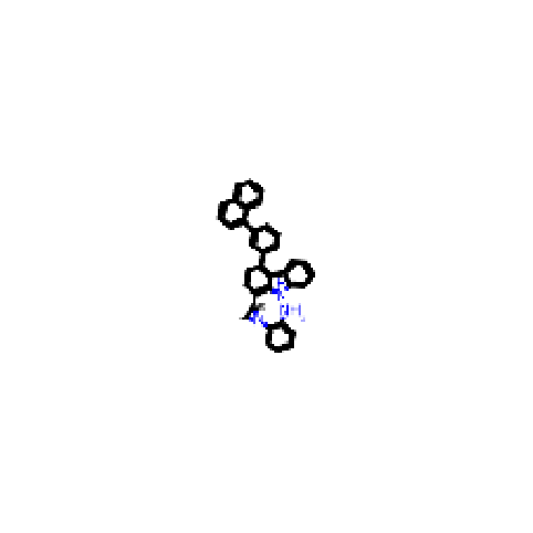 Nc1ccccc1N1C[C@H]1c1ccc(-c2cccc(-c3cccc4ccccc34)c2)c2c1[nH]c1ccccc12